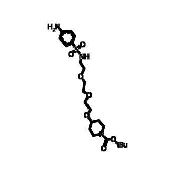 CC(C)(C)OC(=O)N1CCC(OCCOCCOCCNS(=O)(=O)c2ccc(N)cc2)CC1